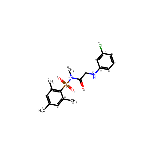 Cc1cc(C)c(S(=O)(=O)N(C)C(=O)CNc2cccc(Cl)c2)c(C)c1